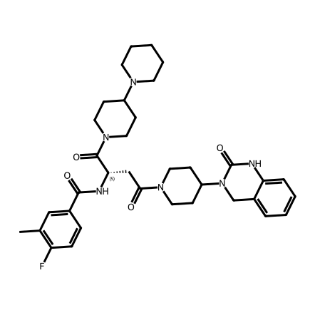 Cc1cc(C(=O)N[C@@H](CC(=O)N2CCC(N3Cc4ccccc4NC3=O)CC2)C(=O)N2CCC(N3CCCCC3)CC2)ccc1F